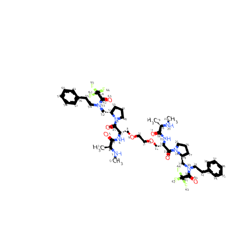 CN[C@@H](C)C(=O)N[C@@H](COCCOC[C@H](NC(=O)[C@H](C)NC)C(=O)N1CCC[C@H]1CN(CCc1ccccc1)C(=O)C(F)(F)F)C(=O)N1CCC[C@H]1CN(CCc1ccccc1)C(=O)C(F)(F)F